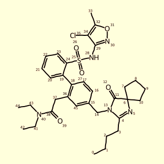 CCCCC1=NC2(CCCC2)C(=O)N1Cc1ccc(-c2ccccc2S(=O)(=O)Nc2noc(C)c2Cl)c(CC(=O)N(CC)CC)c1